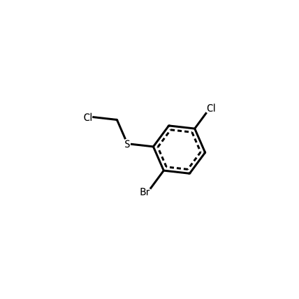 ClCSc1cc(Cl)ccc1Br